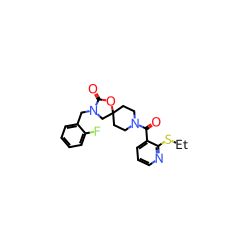 CCSc1ncccc1C(=O)N1CCC2(CC1)CN(Cc1ccccc1F)C(=O)O2